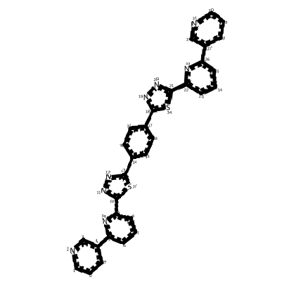 c1cncc(-c2cccc(-c3nnc(-c4ccc(-c5nnc(-c6cccc(-c7cccnc7)n6)s5)cc4)s3)n2)c1